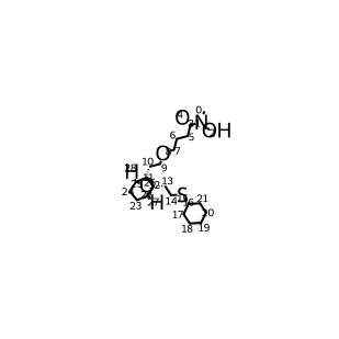 CN(O)C(=O)CCCOCC[C@@H]1[C@H](CCSC2CCCCC2)[C@@H]2CC[C@H]1O2